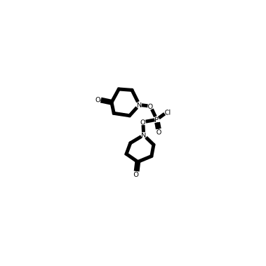 O=C1CCN(OP(=O)(Cl)ON2CCC(=O)CC2)CC1